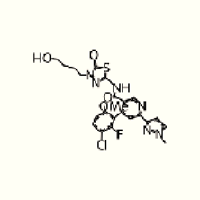 COc1ccc(Cl)c(F)c1-c1cc(-c2ccn(C)n2)ncc1C(=O)Nc1nn(CCCCO)c(=O)s1